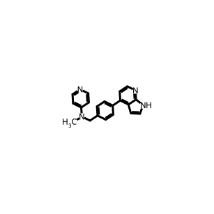 CN(Cc1ccc(-c2ccnc3[nH]ccc23)cc1)c1ccncc1